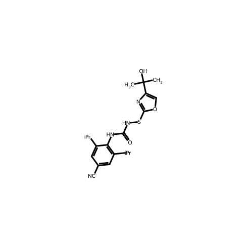 CC(C)c1cc(C#N)cc(C(C)C)c1NC(=O)NSc1nc(C(C)(C)O)co1